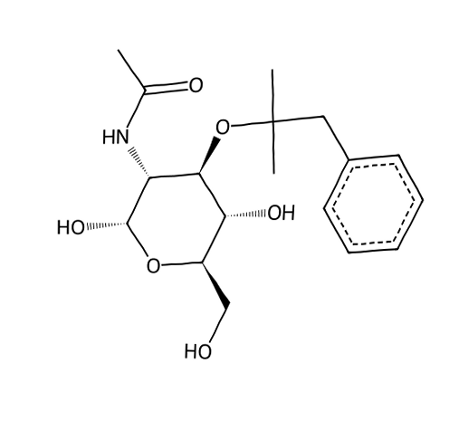 CC(=O)N[C@@H]1[C@@H](OC(C)(C)Cc2ccccc2)[C@H](O)[C@@H](CO)O[C@@H]1O